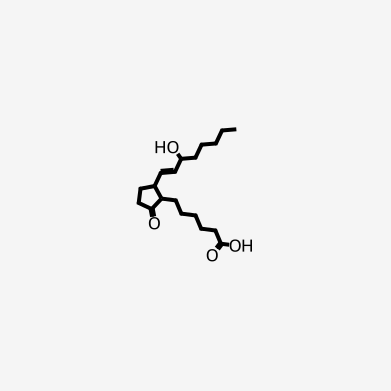 CCCCCC(O)C=CC1CCC(=O)C1CCCCCC(=O)O